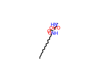 CCCCCCCCCCCCCCCC(=O)N[C@@H](CCC(=O)NC)C(=O)O